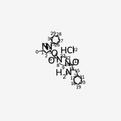 Cc1cc(OC(=O)N2CCN(C(=O)C(N)Cc3ccccc3)CC2)n(-c2ccccc2)n1.Cl